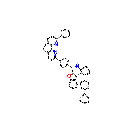 CN1c2cccc(-c3ccc(-c4ccccc4)cc3)c2-c2c(oc3ccccc23)C1c1ccc(-c2ccc3ccc4ccc(-c5ccccc5)nc4c3n2)cc1